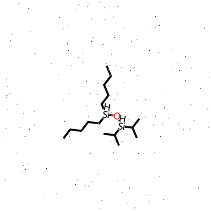 CCCCC[SiH](CCCCC)O[SiH](C(C)C)C(C)C